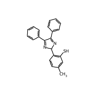 Cc1ccc([C]2N=C(c3ccccc3)C(c3ccccc3)=N2)c(S)c1